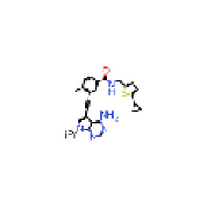 Cc1ccc(C(=O)NCc2ccc(C3CC3)s2)cc1C#Cc1cn(C(C)C)c2ncnc(N)c12